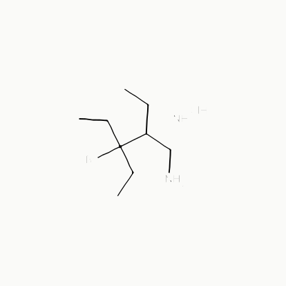 CCC(CN)C(Br)(CC)CC.Cl.N